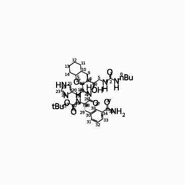 CCCCNC(=O)NC[C@@H](O)[C@H](CC1CCCCC1)C(=O)[C@H](Cc1c[nH]cn1)NC(=O)[C@H](Cc1cccc(C(N)=O)c1)NC(=O)OC(C)(C)C